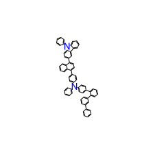 c1ccc(-c2cccc(-c3ccccc3-c3ccc(N(c4ccccc4)c4ccc(-c5ccc(-c6ccc7c(c6)c6ccccc6n7-c6ccccc6)c6ccccc56)cc4)cc3)c2)cc1